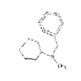 CN(Cc1ccccc1)C1CCCCC1